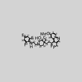 COc1ccc2ncc(CF)c([C@@H](F)CCC3(CC(=O)O)CCN(CCNc4c(F)cc(F)cc4F)CC3)c2c1